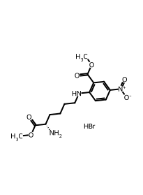 Br.COC(=O)c1cc([N+](=O)[O-])ccc1NCCCC[C@H](N)C(=O)OC